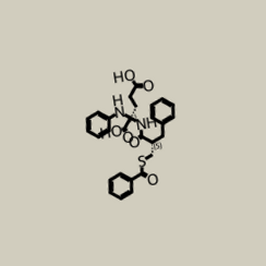 O=C(O)CC[C@@](NC(=O)[C@@H](CSC(=O)c1ccccc1)Cc1ccccc1)(Nc1ccccc1)C(=O)O